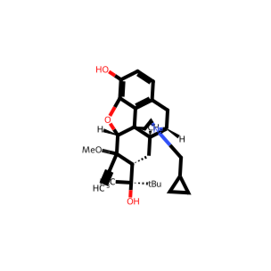 C#CC1(OC)[C@@H]([C@](C)(O)C(C)(C)C)C[C@]2(C)[C@H]3Cc4ccc(O)c5c4[C@@]2(CCN3CC2CC2)[C@H]1O5